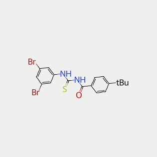 CC(C)(C)c1ccc(C(=O)NC(=S)Nc2cc(Br)cc(Br)c2)cc1